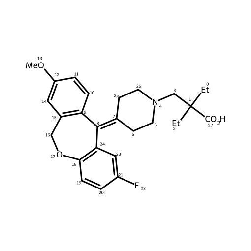 CCC(CC)(CN1CCC(=C2c3ccc(OC)cc3COc3ccc(F)cc32)CC1)C(=O)O